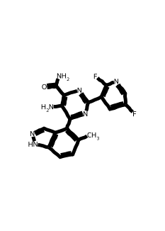 Cc1ccc2[nH]ncc2c1-c1nc(-c2cc(F)cnc2F)nc(C(N)=O)c1N